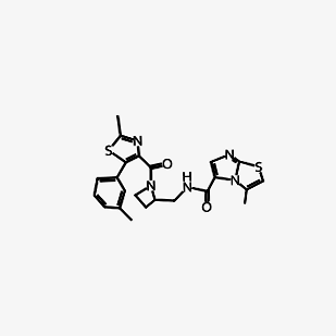 Cc1cccc(-c2sc(C)nc2C(=O)N2CCC2CNC(=O)c2cnc3scc(C)n23)c1